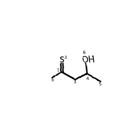 CC(=S)CC(C)O